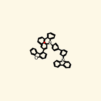 c1ccc(-c2ccccc2N(c2ccc(-c3cccc(-n4c5ccccc5c5ccccc54)c3)cc2)c2cccc(-c3cccc4oc5ccccc5c34)c2)cc1